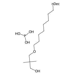 CCCCCCCCCCCCCCCCCCOCC(C)(C)CO.OP(O)O